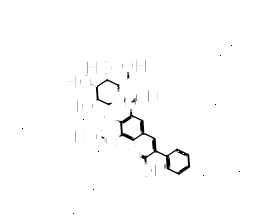 COc1cc(C=C(C(=O)O)c2ccccc2)cc(OC)c1O[C@H]1O[C@H](CO)[C@@H](O)[C@H](O)[C@@H]1O